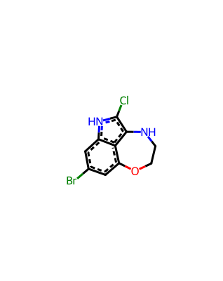 Clc1[nH]c2cc(Br)cc3c2c1NCCO3